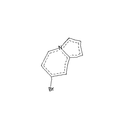 Brc1ccn2cccc2c1